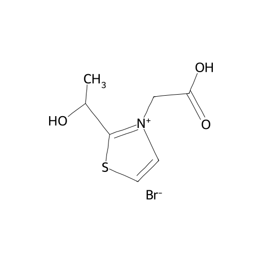 CC(O)c1scc[n+]1CC(=O)O.[Br-]